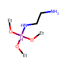 CCO[PH](NCCN)(OCC)OCC